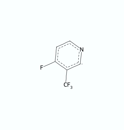 Fc1ccn[c]c1C(F)(F)F